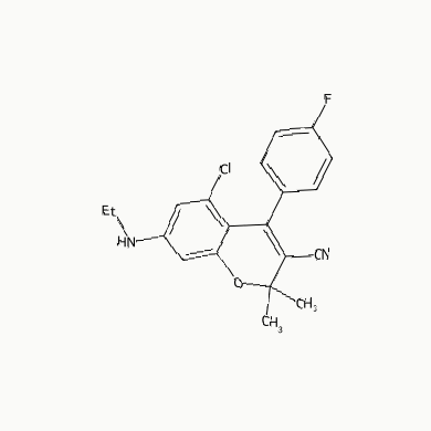 CCNc1cc(Cl)c2c(c1)OC(C)(C)C(C#N)=C2c1ccc(F)cc1